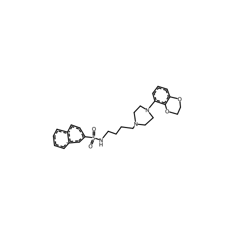 O=S(=O)(NCCCCN1CCN(c2cccc3c2OCCO3)CC1)c1ccc2ccccc2c1